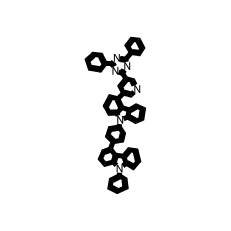 C1=C(c2ccc(-n3c4ccccc4c4c(-c5cncc(-c6nc(-c7ccccc7)nc(-c7ccccc7)n6)c5)cccc43)cc2)c2c(n(-c3ccccc3)c3ccccc23)CC1